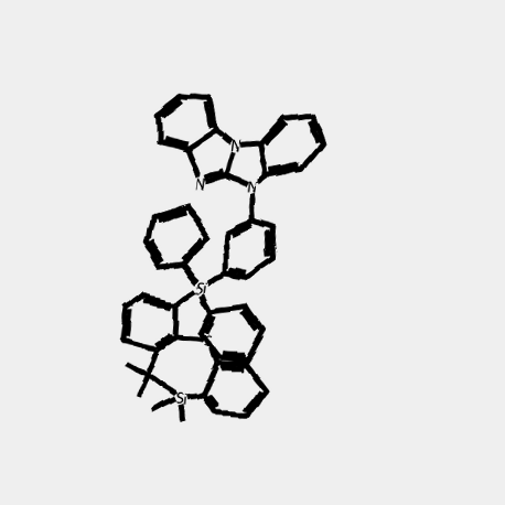 CC1(C)c2cccc([Si](c3ccccc3)(c3ccccc3)c3cccc(-n4c5ccccc5n5c6ccccc6nc45)c3)c2Sc2ccccc2[Si]1(C)C